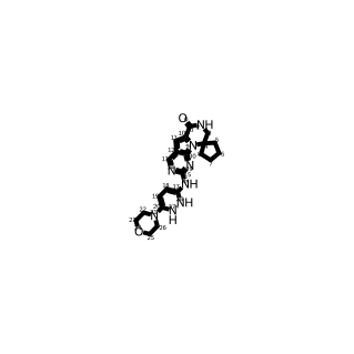 O=C1NCC2(CCCC2)n2c1cc1cnc(NC3=CC=C(N4CCOCC4)NN3)nc12